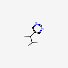 CC(C)C(C)c1cncnc1